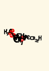 Cc1cc(OCCCS(C)(=O)=O)cc(C)c1-c1cccc(COc2ccc3c(c2)CC[C@H]3CC(=O)O)c1